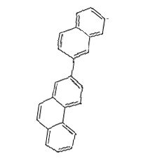 [c]1ccc2ccc(-c3ccc4c(ccc5ccccc54)c3)cc2c1